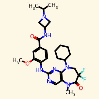 COc1cc(C(=O)NC2CN(C(C)C)C2)ccc1Nc1ncc2c(n1)N(C1CCCCC1)CC(F)(F)C(=O)N2C